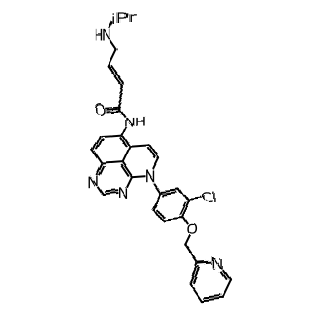 CC(C)NC/C=C/C(=O)Nc1ccc2ncnc3c2c1C=CN3c1ccc(OCc2ccccn2)c(Cl)c1